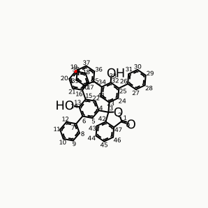 O=C1OC(c2cc(-c3ccccc3)c(O)c(-c3ccccc3)c2)(c2cc(-c3ccccc3)c(O)c(-c3ccccc3)c2)c2ccccc21